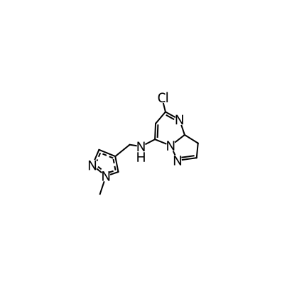 Cn1cc(CNC2=CC(Cl)=NC3CC=NN23)cn1